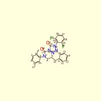 Cc1ccc(C)c(N(CCCc2ccccc2)C(=O)n2nnn(-c3c(F)cccc3F)c2=O)c1